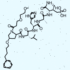 COCCOCCC(=O)N1C[C@H](OCCCCc2ccccc2)CC1C(=O)N[C@@H](CC(C)C)C(=O)N[C@@H](Cc1cnc[nH]1)C(=O)N[C@@H](C)C(=O)N[C@H](C(N)=O)[C@@H](C)CP(=O)(O)O